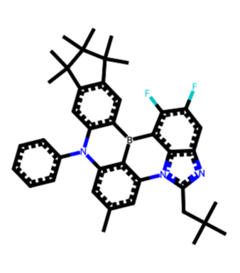 Cc1cc2c3c(c1)-n1c(CC(C)(C)C)nc4cc(F)c(F)c(c41)B3c1cc3c(cc1N2c1ccccc1)C(C)(C)C(C)(C)C3(C)C